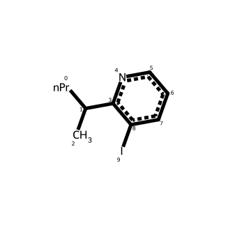 CCCC(C)c1ncccc1I